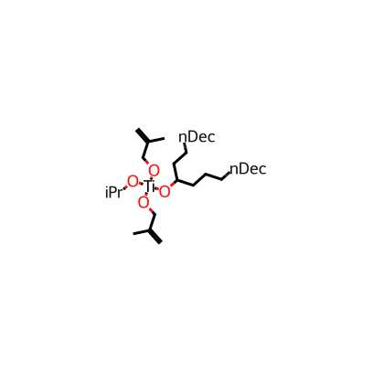 C=C(C)C[O][Ti]([O]CC(=C)C)([O]C(C)C)[O]C(CCCCCCCCCCCC)CCCCCCCCCCCCC